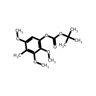 COc1cc(OC(=O)OC(C)(C)C)c(OC)c(OC)c1C